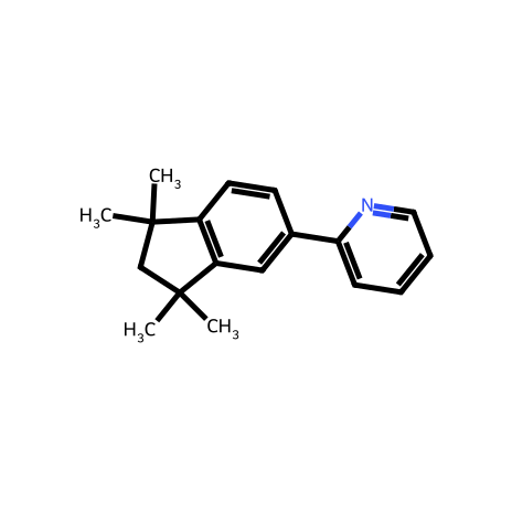 CC1(C)CC(C)(C)c2cc(-c3ccccn3)ccc21